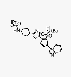 CC(C)OC(=O)N[C@H]1CC[C@H](c2ncc(-c3ccc(-c4cnn5ccccc45)cc3S(=O)(=O)NC(C)(C)C)s2)CC1